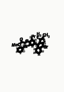 COC(=O)[C@@H](Cc1ccccc1)Oc1c(Br)cc(-c2c3ccccc3c(Br)c3sc(C)c(C)c23)cc1C(C)C